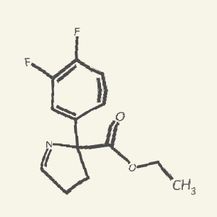 CCOC(=O)C1(c2ccc(F)c(F)c2)CCC=N1